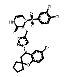 O=C1NC=CN(S(=O)(=O)c2ccc(Cl)c(Cl)c2)[C@@H]1Cc1cn([C@@H]2CC3(CCCC3)Oc3ccc(Br)cc32)nn1